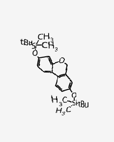 CC(C)(C)[Si](C)(C)Oc1ccc2c(c1)COc1cc(O[Si](C)(C)C(C)(C)C)ccc1-2